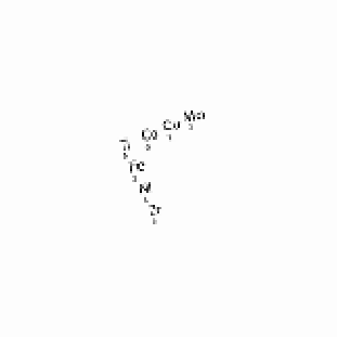 [Co].[Cu].[Fe].[Mo].[Ni].[Ti].[Zr]